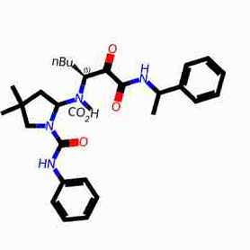 CCCC[C@@H](C(=O)C(=O)NC(C)c1ccccc1)N(C(=O)O)C1CC(C)(C)CN1C(=O)Nc1ccccc1